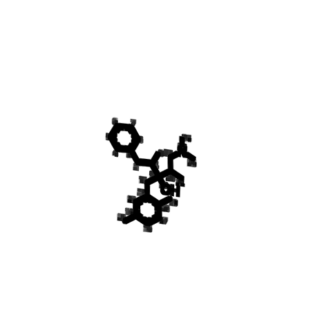 CC(=Cc1ccccc1)C(O)(Cc1cc(C)ccc1C)C(C)CN(C)C